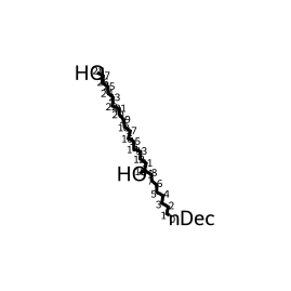 CCCCCCCCCCCCCCCCCC[C](O)CCCCCCCCCCCCCCCCCO